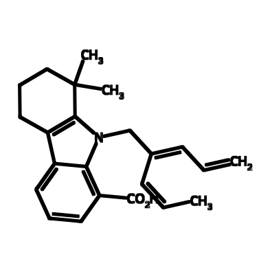 C=C/C=C(\C=C/C)Cn1c2c(c3cccc(C(=O)O)c31)CCCC2(C)C